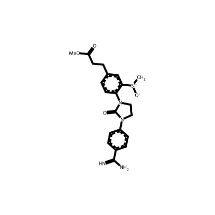 COC(=O)CCc1ccc(N2CCN(c3ccc(C(=N)N)cc3)C2=O)c([S+](C)[O-])c1